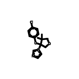 CC1(C)[C]OCC1(Oc1ccc(Cl)cc1)n1ccnc1